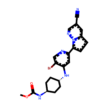 COC(=O)N[C@H]1CC[C@H](Nc2cc(-c3ccc4cc(C#N)cnn34)ncc2Br)CC1